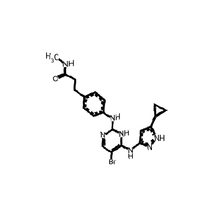 CNC(=O)CCc1ccc(NC2N=CC(Br)=C(Nc3cc(C4CC4)[nH]n3)N2)cc1